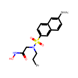 CC(=O)Nc1ccc2cc(S(=O)(=O)N(CCC(C)C)CC(=O)NO)ccc2c1